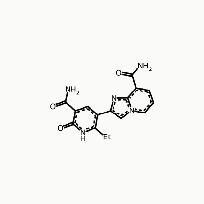 CCc1[nH]c(=O)c(C(N)=O)cc1-c1cn2cccc(C(N)=O)c2n1